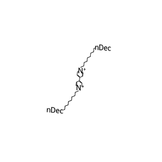 CCCCCCCCCCCCCCCCCCC[n+]1ccc(-c2cc[n+](CCCCCCCCCCCCCCCCCCC)cc2)cc1